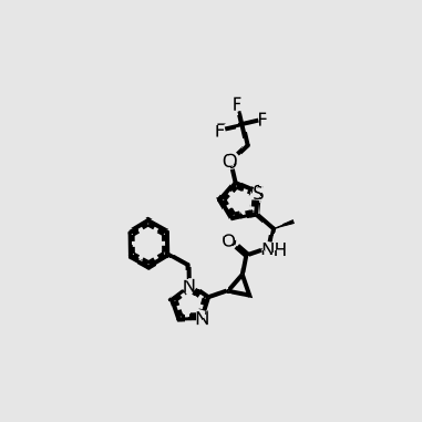 C[C@@H](NC(=O)C1CC1c1nccn1Cc1ccccc1)c1ccc(OCC(F)(F)F)s1